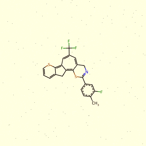 Cc1ccc(C2=NCC3=CC(C(F)(F)F)=CC4=C5SC=CC=C5CC4=C3S2)cc1F